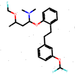 CC(CC(Oc1ccccc1CCc1cccc(OC(F)F)c1)N(C)C)OCF